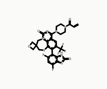 C=CC(=O)N1CCN(c2nc(=O)n3c4c(c(-c5c(F)cc(F)c6sc(=O)[nH]c56)c(C(F)(F)F)cc24)SCC2(COC2)C3)CC1